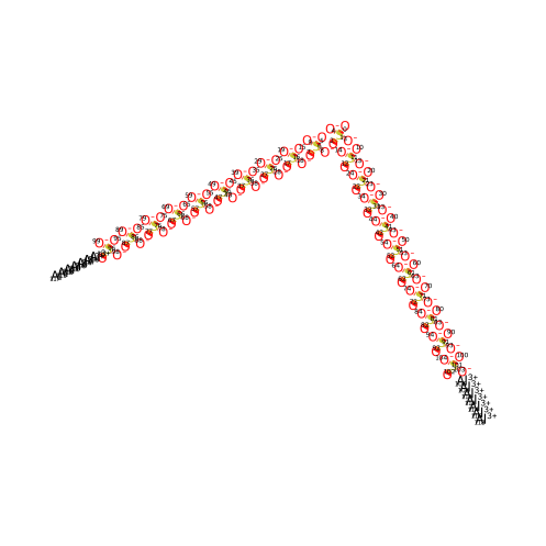 O=S(=O)([O-])[O-].O=S(=O)([O-])[O-].O=S(=O)([O-])[O-].O=S(=O)([O-])[O-].O=S(=O)([O-])[O-].O=S(=O)([O-])[O-].O=S(=O)([O-])[O-].O=S(=O)([O-])[O-].O=S(=O)([O-])[O-].O=S(=O)([O-])[O-].O=S(=O)([O-])[O-].O=S(=O)([O-])[O-].O=S(=O)([O-])[O-].O=S(=O)([O-])[O-].O=S(=O)([O-])[O-].O=S(=O)([O-])[O-].O=S(=O)([O-])[O-].O=S(=O)([O-])[O-].O=S(=O)([O-])[O-].O=S(=O)([O-])[O-].O=S(=O)([O-])[O-].[Al+3].[Al+3].[Al+3].[Al+3].[Al+3].[Al+3].[Al+3].[Al+3].[Al+3].[Al+3].[Al+3].[Al+3].[Al+3].[Al+3]